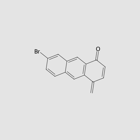 C=C1C=CC(=O)c2cc3cc(Br)ccc3cc21